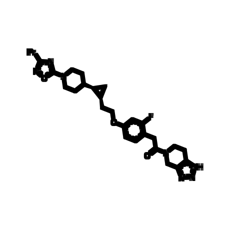 CC(C)c1noc(N2CCC([C@H]3C[C@H]3CCOc3ccc(CC(=O)N4CCc5[nH]nnc5C4)c(F)c3)CC2)n1